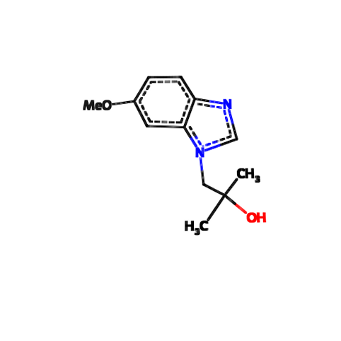 COc1ccc2ncn(CC(C)(C)O)c2c1